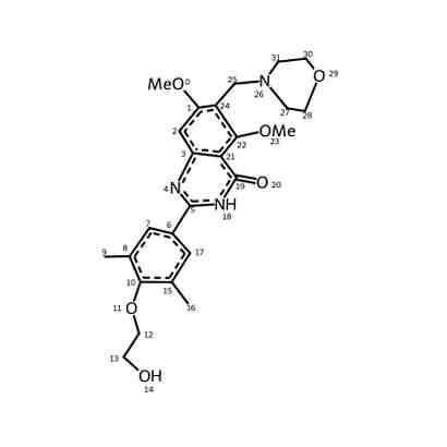 COc1cc2nc(-c3cc(C)c(OCCO)c(C)c3)[nH]c(=O)c2c(OC)c1CN1CCOCC1